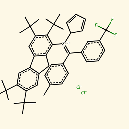 Cc1ccc([C](c2cccc(C(F)(F)F)c2)=[Zr+2]([c]2c3c(cc(C(C)(C)C)c2C(C)(C)C)-c2cc(C(C)(C)C)c(C(C)(C)C)cc2C3)[CH]2C=CC=C2)cc1.[Cl-].[Cl-]